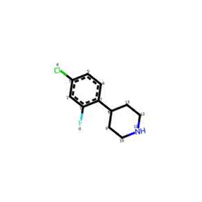 Fc1cc(Cl)ccc1C1CCNCC1